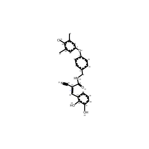 Cc1cc(Oc2ccc(CNC(=O)/C(C#N)=C\c3cccc(O)c3O)cc2)cc(C)c1Cl